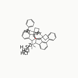 CCCC1(CC2=Cc3c(-c4ccccc4)cccc3[CH]2[Zr]([CH3])([CH3])(=[SiH2])[CH]2C(CC3(CCC)CCC3)=Cc3c(-c4ccccc4)cccc32)CCC1.Cl.Cl